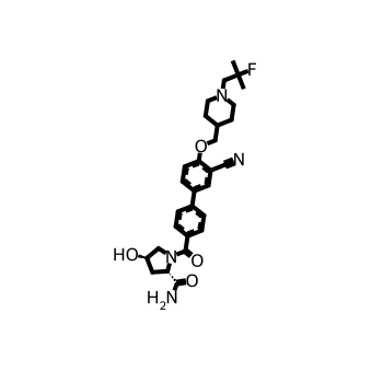 CC(C)(F)CN1CCC(COc2ccc(-c3ccc(C(=O)N4C[C@H](O)C[C@H]4C(N)=O)cc3)cc2C#N)CC1